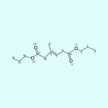 CCCOC(=O)C/C=C(\C)CC(=O)OCCC